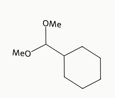 COC(OC)C1CCCCC1